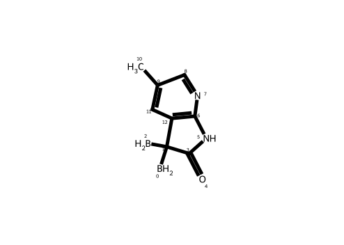 BC1(B)C(=O)Nc2ncc(C)cc21